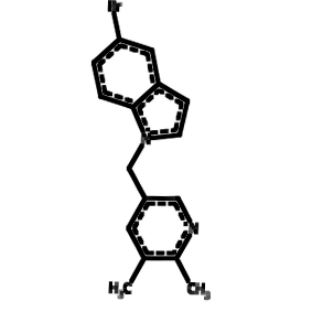 Cc1cc(Cn2ccc3cc(Br)ccc32)cnc1C